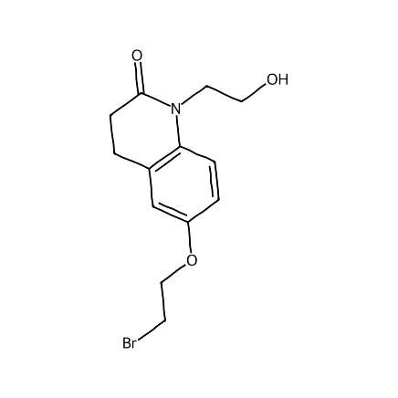 O=C1CCc2cc(OCCBr)ccc2N1CCO